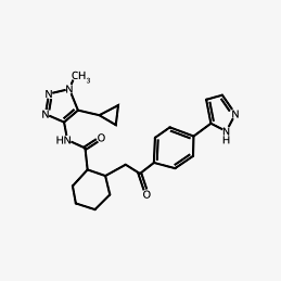 Cn1nnc(NC(=O)C2CCCCC2CC(=O)c2ccc(-c3ccn[nH]3)cc2)c1C1CC1